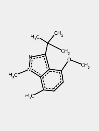 COc1ccc(C)c2c1c(C(C)(C)C)nn2C